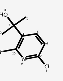 CC(C)(O)c1ccc(Cl)nc1F